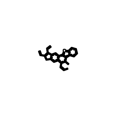 C=CC1=C(C=C)c2cc3c(cc2C1)c(/C=C\C)c(C)c1c2ccccc2oc31